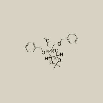 COC[C@]1(COCc2ccccc2)O[C@@H]2OC(C)(C)O[C@@H]2[C@@H]1OCc1ccccc1